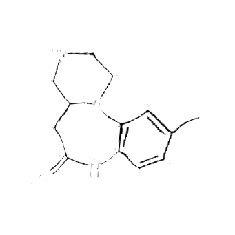 Cc1ccc2c(c1)N1CCNCC1CC(=O)N2